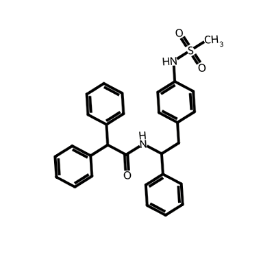 CS(=O)(=O)Nc1ccc(CC(NC(=O)C(c2ccccc2)c2ccccc2)c2ccccc2)cc1